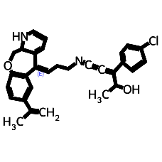 C=C(C)c1ccc2c(c1)/C(=C/CCN=C=C=C(c1ccc(Cl)cc1)C(C)O)C1=CC=CNC1CO2